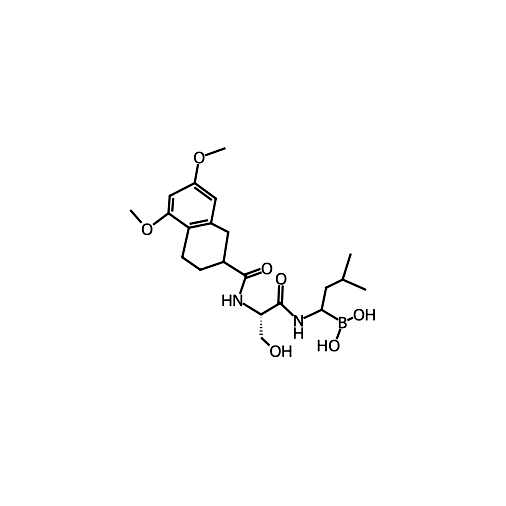 COc1cc2c(c(OC)c1)CCC(C(=O)N[C@@H](CO)C(=O)NC(CC(C)C)B(O)O)C2